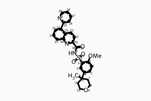 COc1ccc(C2(C)CCOCC2)cc1S(=O)(=O)NC(=O)c1ccc2c(-c3ccccn3)cccc2n1